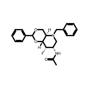 CC(=O)N[C@H]1CN(Cc2ccccc2)[C@@H]2COC(c3ccccc3)O[C@H]2[C@H]1F